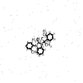 Cc1ccccc1N1c2ccccc2N(C(C)(C)c2ccccc2C)[C@@H]1C